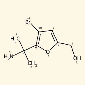 CC(C)(N)c1oc(CO)cc1Br